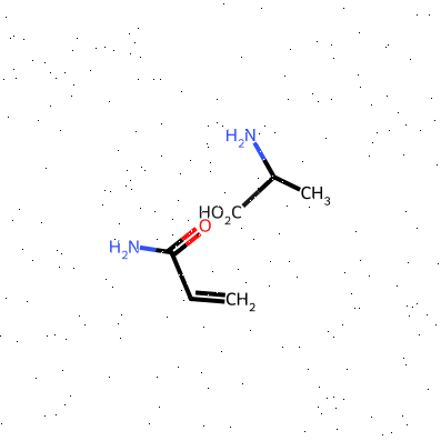 C=CC(N)=O.CC(N)C(=O)O